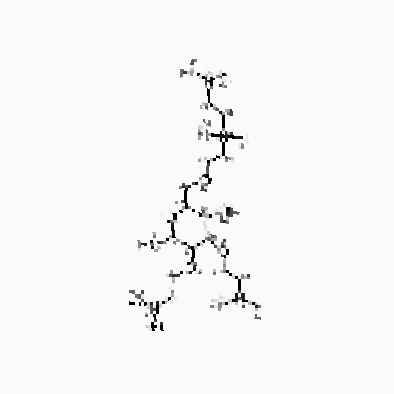 CCN(CC)CCOC1C(O)OC(COCC[N+](CC)(CC)CCN(CC)CC)C(O)C1OCCN(CC)CC